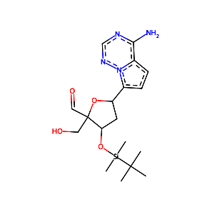 CC(C)(C)[Si](C)(C)OC1CC(c2ccc3c(N)ncnn23)OC1(C=O)CO